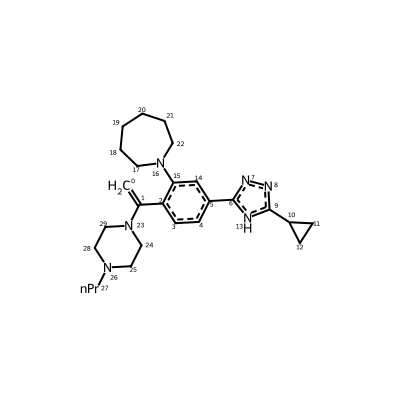 C=C(c1ccc(-c2nnc(C3CC3)[nH]2)cc1N1CCCCCC1)N1CCN(CCC)CC1